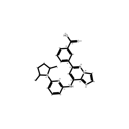 CC1CCC(C)N1c1cccc(Nc2cc(-c3cccc(C(=O)O)c3)nn3ccnc23)n1